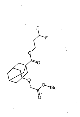 CC(C)(C)OC(=O)COC12CC3CC(C1)CC(C(=O)OCCC(F)F)(C3)C2